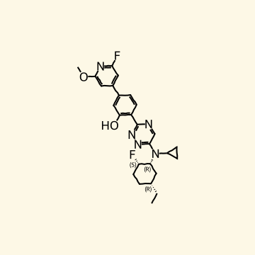 CC[C@@H]1CC[C@H](F)[C@H](N(c2cnc(-c3ccc(-c4cc(F)nc(OC)c4)cc3O)nn2)C2CC2)C1